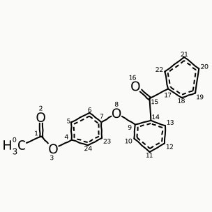 CC(=O)Oc1ccc(Oc2ccccc2C(=O)c2ccccc2)cc1